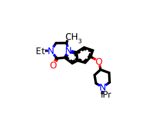 CCN1CC(C)n2c(cc3cc(OC4CCN(C(C)C)CC4)ccc32)C1=O